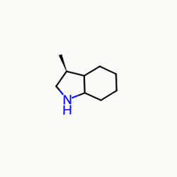 C[C@@H]1CNC2CCCCC21